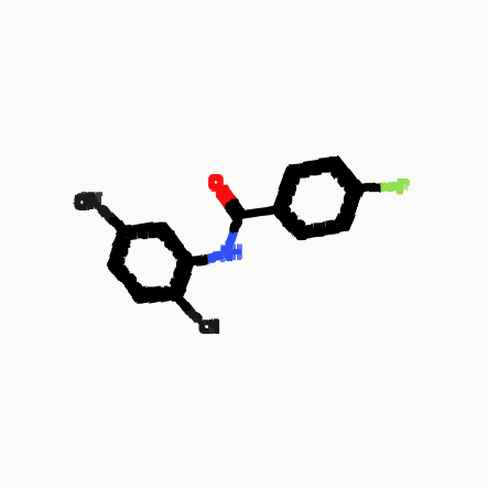 N#Cc1ccc(N=O)cc1NC(=O)c1ccc(F)cc1